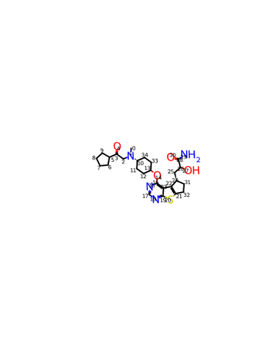 CN(CC(=O)C1CCCC1)[C@H]1CC[C@H](Oc2ncnc3sc4c(c23)[C@@H](C[C@H](O)C(N)=O)CC4)CC1